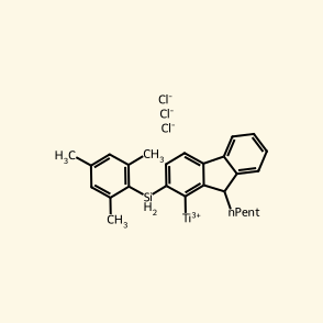 CCCCCC1c2ccccc2-c2ccc([SiH2]c3c(C)cc(C)cc3C)[c]([Ti+3])c21.[Cl-].[Cl-].[Cl-]